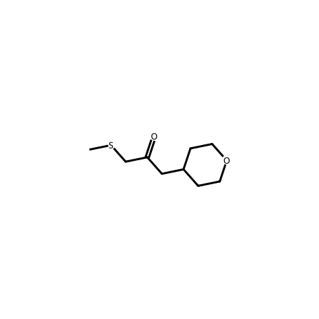 CSCC(=O)CC1CCOCC1